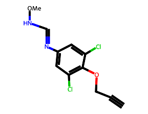 C#CCOc1c(Cl)cc(N=CNOC)cc1Cl